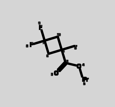 [CH2]C1(C(=O)OC(C)C)CC(F)(F)C1